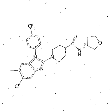 Cc1cc2c(cc1Cl)nc(N1CCC(C(=O)N[C@@H]3CCOC3)CC1)n2-c1ccc(C(F)(F)F)cc1